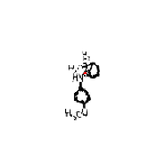 COc1ccc(NC2C3CCC(CC3=O)C2(C)C)cc1